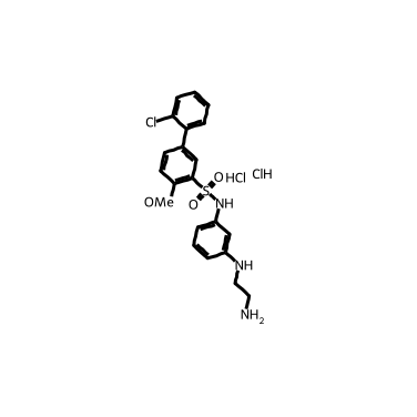 COc1ccc(-c2ccccc2Cl)cc1S(=O)(=O)Nc1cccc(NCCN)c1.Cl.Cl